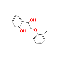 Cc1ccccc1OCC(O)c1ccccc1O